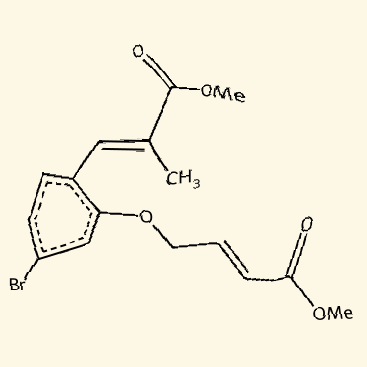 COC(=O)/C=C/COc1cc(Br)ccc1/C=C(\C)C(=O)OC